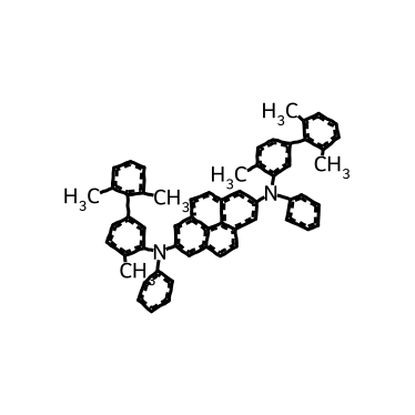 Cc1ccc(-c2c(C)cccc2C)cc1N(c1ccccc1)c1cc2ccc3cc(N(c4ccccc4)c4cc(-c5c(C)cccc5C)ccc4C)cc4ccc(c1)c2c34